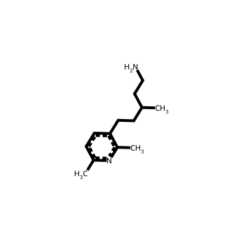 Cc1ccc(CCC(C)CCN)c(C)n1